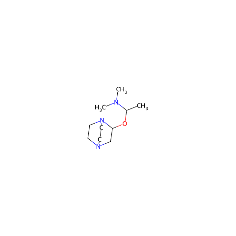 CC(OC1CN2CCN1CC2)N(C)C